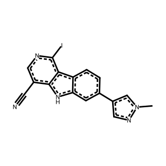 Cn1cc(-c2ccc3c(c2)[nH]c2c(C#N)cnc(I)c23)cn1